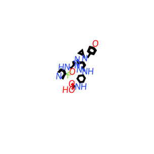 COc1ccc(CN(c2cc(N[C@H]3CC[C@H](NC(=O)O)CC3)nn3c(C(=O)Nc4ccncc4F)cnc23)C2CC2)cc1